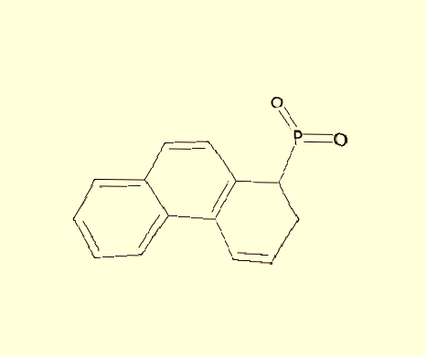 O=P(=O)C1CC=Cc2c1ccc1ccccc21